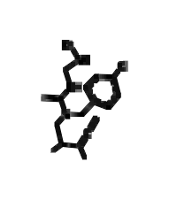 C=C=C(C)C(C)CN(Cc1ccc(Cl)cc1)C(=C)NCNCC